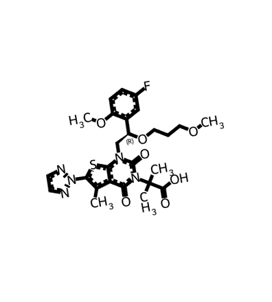 COCCCO[C@@H](Cn1c(=O)n(C(C)(C)C(=O)O)c(=O)c2c(C)c(-n3nccn3)sc21)c1cc(F)ccc1OC